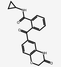 O=C1COc2ccc(C(=O)c3ccccc3C(=O)NC3CC3)cc2N1